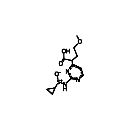 COCCC(C(=O)O)c1ccnc(N[S+]([O-])C2CC2)n1